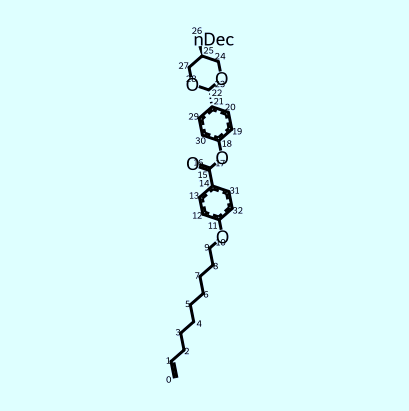 C=CCCCCCCCCOc1ccc(C(=O)Oc2ccc([C@H]3OC[C@H](CCCCCCCCCC)CO3)cc2)cc1